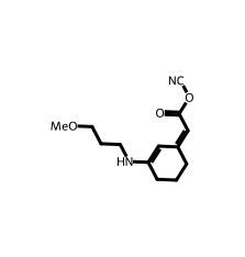 COCCCNC1=C/C(=C\C(=O)OC#N)CCC1